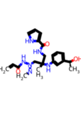 C=CC(=O)NN(CC(C)(CNC(=O)c1ccc[nH]1)Nc1cccc([C@H](C)O)c1)N=C